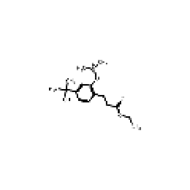 CCOC(=O)CCc1ccc(C(C)(C)C)cc1O[SiH](C)C